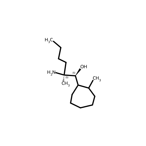 CCCC[C@](C)(N)[C@@H](O)C1CCCCCC1C